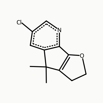 CC1(C)C2=C(OCC2)c2ncc(Cl)cc21